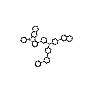 c1ccc(-c2cccc(-c3ccc(N(c4ccc(-c5ccc6ccccc6c5)cc4)c4cccc(-c5cccc6c5c5cc7ccccc7cc5n6-c5ccccc5)c4)cc3)c2)cc1